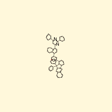 c1ccc(-c2cc(-c3ccc(-c4cccc(-c5cccc6c5C(c5ccccc5)(c5ccccc5)c5cc7ccccc7cc5-6)c4)c4ccccc34)nc(-c3ccccc3)n2)cc1